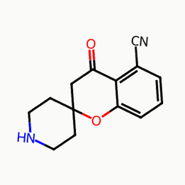 N#Cc1cccc2c1C(=O)CC1(CCNCC1)O2